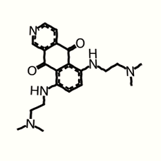 CN(C)CCNc1ccc(NCCN(C)C)c2c1C(=O)c1ccncc1C2=O